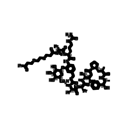 CC[C@H](C)[C@@H]([C@@H](CC(=O)N1CCC[C@H]1C[C@@H](C)C(=O)N[C@H](C)[C@@H](O)c1ccccc1)OC)N(C)C(=O)[C@@H](NC(=O)[C@H](C(C)C)N(C)C(=O)OCc1ccc(NC(=O)[C@H](CCCNC(N)=O)NC(=O)[C@@H](NC(=O)CCOCCOCCC(=O)C(C)C)C(C)C)c(O[C@@H]2O[C@H](C(=O)O)[C@@H](O)[C@H](O)[C@H]2O)c1)C(C)C